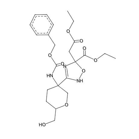 CCOC(=O)CC1(C(=O)OCC)N=C(C2(NC(=O)OCc3ccccc3)CCC(CO)OC2)NO1